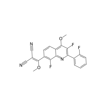 COC(=C(C#N)C#N)c1ccc2c(OC)c(F)c(-c3ccccc3F)nc2c1F